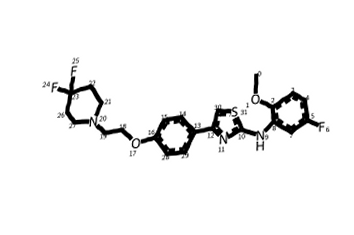 COc1ccc(F)cc1Nc1nc(-c2ccc(OCCN3CCC(F)(F)CC3)cc2)cs1